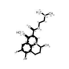 CC1CCc2c(Br)c(F)cc3c(=O)c(C(=O)OCCN(C)C)cn1c23.Cl